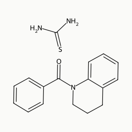 NC(N)=S.O=C(c1ccccc1)N1CCCc2ccccc21